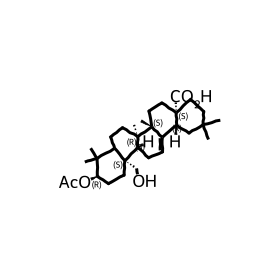 CC(=O)O[C@@H]1CC[C@@]2(CO)C(CC[C@]3(C)[C@@H]2CC=C2[C@H]4CC(C)(C)CC[C@]4(C(=O)O)CC[C@]23C)C1(C)C